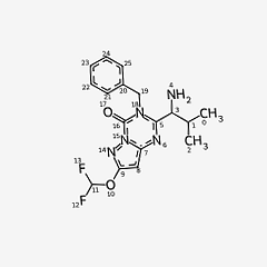 CC(C)C(N)c1nc2cc(OC(F)F)nn2c(=O)n1Cc1ccccc1